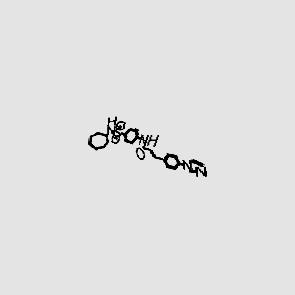 O=C(C=Cc1ccc(-n2ccnc2)cc1)Nc1ccc(S(=O)(=O)NC2CCCCCC2)cc1